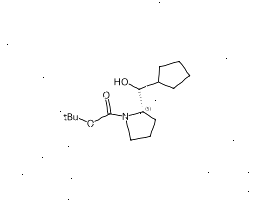 CC(C)(C)OC(=O)N1CCC[C@H]1C(O)C1CCCC1